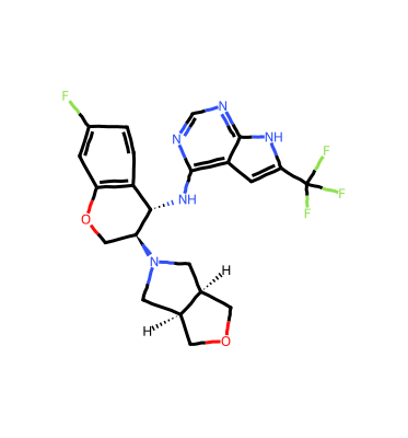 Fc1ccc2c(c1)OC[C@H](N1C[C@H]3COC[C@H]3C1)[C@H]2Nc1ncnc2[nH]c(C(F)(F)F)cc12